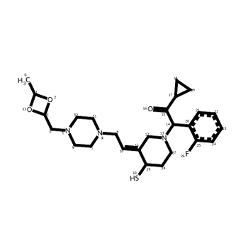 CC1OC(CN2CCN(C/C=C3\CN(C(C(=O)C4CC4)c4ccccc4F)CCC3S)CC2)O1